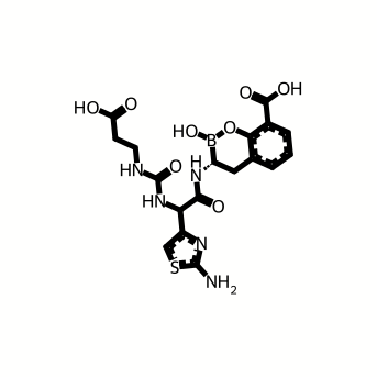 Nc1nc(C(NC(=O)NCCC(=O)O)C(=O)N[C@H]2Cc3cccc(C(=O)O)c3OB2O)cs1